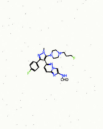 Cn1nc(-c2ccc(F)cc2)c(-c2ccc3nc(NC=O)cn3n2)c1N1CCN(CCCF)CC1